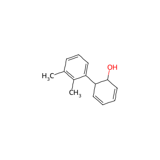 Cc1cccc(C2C=CC=CC2O)c1C